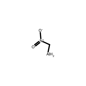 O=[N+]([O-])[CH2][AlH2]